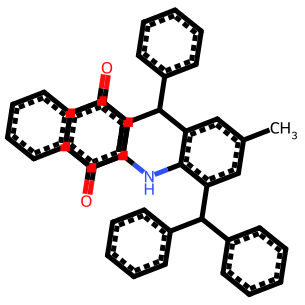 Cc1cc(C(c2ccccc2)c2ccccc2)c(NC2=CC(=O)c3ccccc3C2=O)c(C(c2ccccc2)c2ccccc2)c1